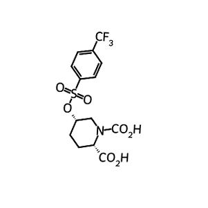 O=C(O)[C@@H]1CC[C@H](OS(=O)(=O)c2ccc(C(F)(F)F)cc2)CN1C(=O)O